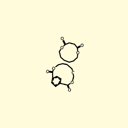 O=C1CCC(=O)OCCCCCCO1.O=C1OCCCCCCOC(=O)c2ccc1cc2